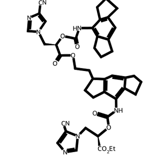 CCOC(=O)[C@@H](Cn1cncc1C#N)OC(=O)Nc1c2c(cc3c1CCC3CCOC(=O)[C@@H](Cn1cnc(C#N)c1)OC(=O)Nc1c3c(cc4c1CCC4)CCC3)CCC2